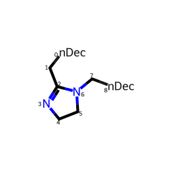 CCCCCCCCCCCC1=NCCN1CCCCCCCCCCC